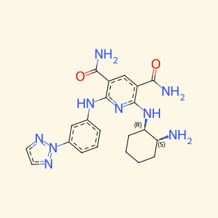 NC(=O)c1cc(C(N)=O)c(N[C@@H]2CCCC[C@@H]2N)nc1Nc1cccc(-n2nccn2)c1